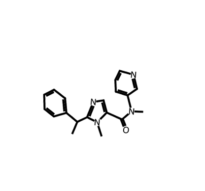 CC(c1ccccc1)c1ncc(C(=O)N(C)c2cccnc2)n1C